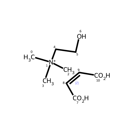 C[N+](C)(C)CCO.O=C(O)/C=C\C(=O)O